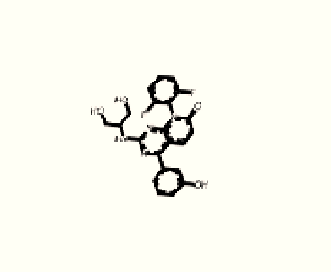 O=c1ccc2c(-c3cccc(O)c3)nc(NC(CO)CO)nc2n1-c1c(F)cccc1F